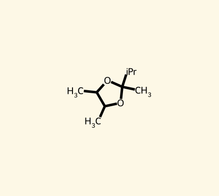 CC1OC(C)(C(C)C)OC1C